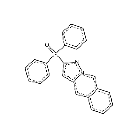 O=P(c1ccccc1)(c1ccccc1)c1cc2cc3ccccc3cn2n1